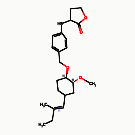 CC/C(C)=C/C1CC[C@@H](OCc2ccc(BC3CCOC3=O)cc2)[C@H](OC)C1